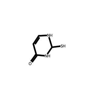 O=C1C=CNC(S)N1